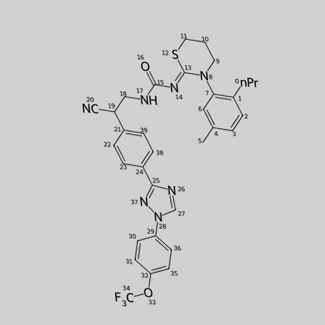 CCCc1ccc(C)cc1N1CCCS/C1=N\C(=O)NCC(C#N)c1ccc(-c2ncn(-c3ccc(OC(F)(F)F)cc3)n2)cc1